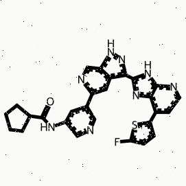 O=C(Nc1cncc(-c2cc3c(-c4nc5c(-c6ccc(F)s6)ccnc5[nH]4)n[nH]c3cn2)c1)C1CCCC1